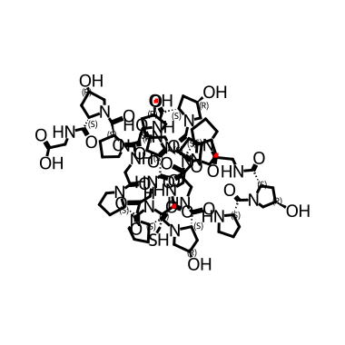 O=C(O)CNC(=O)[C@@H]1C[C@@H](O)CN1C(=O)[C@@H]1CCCN1C(=O)CNC(=O)[C@@H]1C[C@@H](O)CN1C(=O)[C@@H]1CCCN1C(=O)CNC(=O)[C@H](CS)NC(=O)[C@@H]1CCCN1C(=O)CNC(=O)[C@@H]1C[C@@H](O)CN1C(=O)[C@@H]1CCCN1C(=O)CNC(=O)[C@@H]1C[C@@H](O)CN1C(=O)[C@@H]1CCCN1C(=O)CNC(=O)[C@@H]1C[C@@H](O)CN1C(=O)[C@@H]1CCCN1C(=O)CNC(=O)[C@@H]1C[C@@H](O)CN1C(=O)[C@@H]1CCCN1